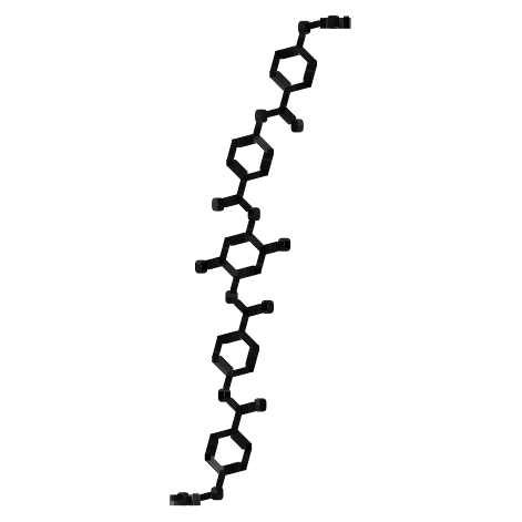 CCCCCCCCOc1ccc(C(=O)Oc2ccc(C(=O)OC3=CC(=O)C(OC(=O)c4ccc(OC(=O)c5ccc(OCCCCCCCC)cc5)cc4)=CC3=O)cc2)cc1